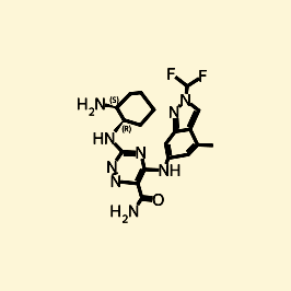 Cc1cc(Nc2nc(N[C@@H]3CCCC[C@@H]3N)nnc2C(N)=O)cc2nn(C(F)F)cc12